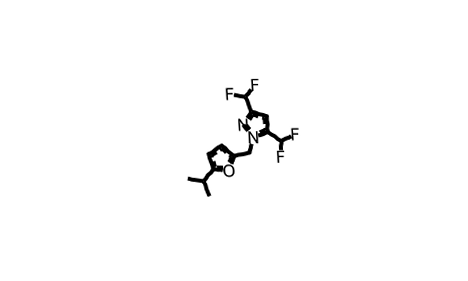 CC(C)c1ccc(Cn2nc(C(F)F)cc2C(F)F)o1